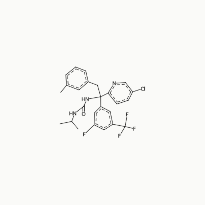 Cc1cccc(CC(NC(=O)NC(C)C)(c2cc(F)cc(C(F)(F)F)c2)c2ccc(Cl)cn2)c1